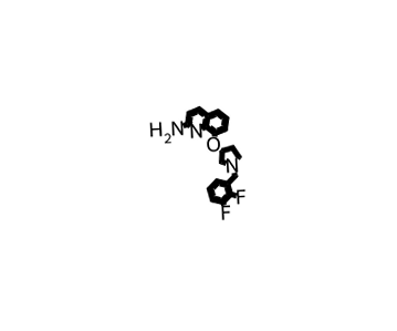 Nc1ccc2cccc(OC3CCN(Cc4cccc(F)c4F)C3)c2n1